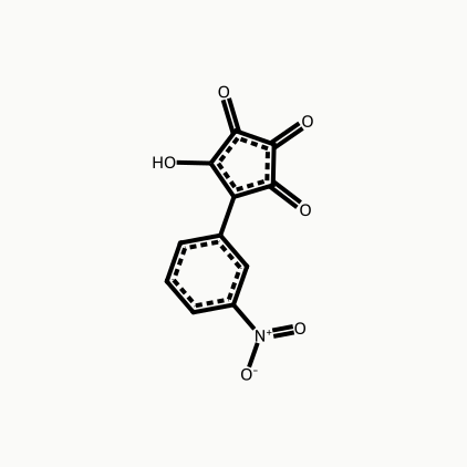 O=c1c(O)c(-c2cccc([N+](=O)[O-])c2)c(=O)c1=O